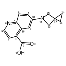 O=C(O)c1ccnc2ccc(N3CC4(CC4)C3)cc12